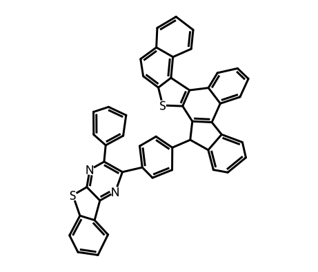 c1ccc(-c2nc3sc4ccccc4c3nc2-c2ccc(C3c4ccccc4-c4c3c3sc5ccc6ccccc6c5c3c3ccccc43)cc2)cc1